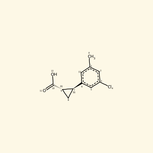 Cc1cc(Cl)cc([C@H]2C[C@@H]2C(=O)O)c1